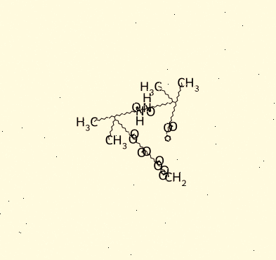 C=CC(=O)OCCOC(=O)CCCCCOC(=O)CCCCCOC(=O)CCCCCCCCC(CCCCCCCC)C(CCCCCCCC)CCCCCCCCC(=O)NCCNC(=O)CCCCCCCCC(CCCCCCCC)C(CCCCCCCC)CCCCCCCCC(=O)OCCc1ccccc1